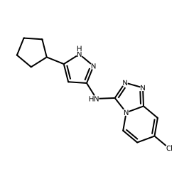 Clc1ccn2c(Nc3cc(C4CCCC4)[nH]n3)nnc2c1